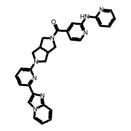 O=C(c1ccnc(Nc2ccccn2)c1)N1CC2CN(c3cccc(-c4cn5ccccc5n4)n3)CC2C1